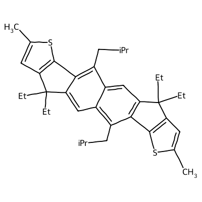 CCC1(CC)c2cc(C)sc2-c2c1cc1c(CC(C)C)c3c(cc1c2CC(C)C)C(CC)(CC)c1cc(C)sc1-3